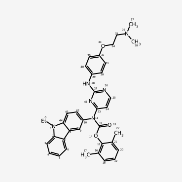 CCn1c2ccccc2c2cc(N(C(=O)Oc3c(C)cccc3C)c3ccnc(Nc4ccc(OCCN(C)C)cc4)n3)ccc21